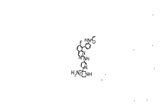 C=CC(=O)Nc1cccc(-c2c(F)ccc3cnc(Nc4ccc(C5(CN)CNCCO5)nc4)nc23)c1